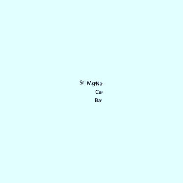 [Ba].[Ca].[Mg].[Na].[Sr]